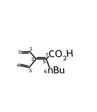 C=CC(C=C)=C(CCCC)C(=O)O